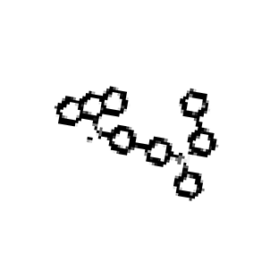 CN(c1ccc(-c2ccc(N(c3ccccc3)c3cccc(-c4ccccc4)c3)cc2)cc1)c1c2ccccc2cc2ccccc12